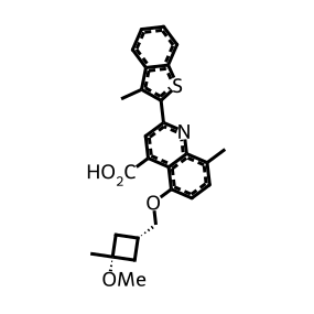 CO[C@]1(C)C[C@H](COc2ccc(C)c3nc(-c4sc5ccccc5c4C)cc(C(=O)O)c23)C1